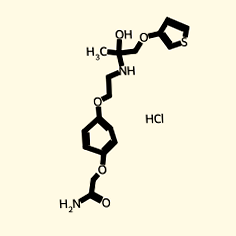 CC(O)(COc1ccsc1)NCCOc1ccc(OCC(N)=O)cc1.Cl